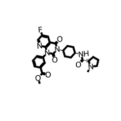 COC(=O)c1cccc(-n2c(=O)n([C@H]3CC[C@@H](NC(=O)[C@@H]4CCCN4C)CC3)c(=O)c3cc(F)cnc32)c1